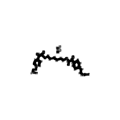 CCCCCCCCCCCC[n+]1ccc(C(=O)C(=O)OCCCCCCOC(=O)C(=O)c2cc[n+](CCCCCCCCCCCC)cc2)cc1.[Br-].[Br-]